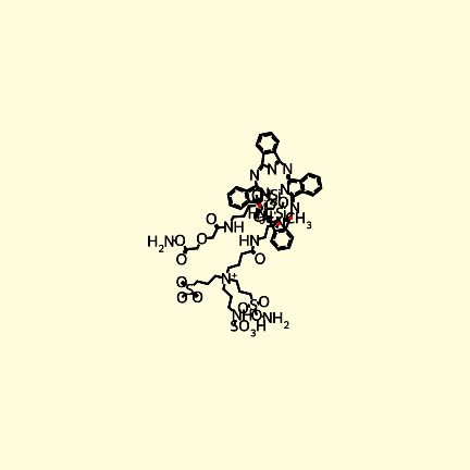 C[Si](C)(CCCNC(=O)CCC[N+](CCCNS(=O)(=O)O)(CCCS(=O)(=O)[O-])CCCS(=O)(=O)ON)O[Si]1(O[Si](C)(C)CCCNC(=O)COCC(=O)ON)n2c3c4ccccc4c2/N=C2N=C(/N=c4/c5ccccc5/c(n41)=N/C1=NC(=N\3)/c3ccccc31)c1ccccc1\2